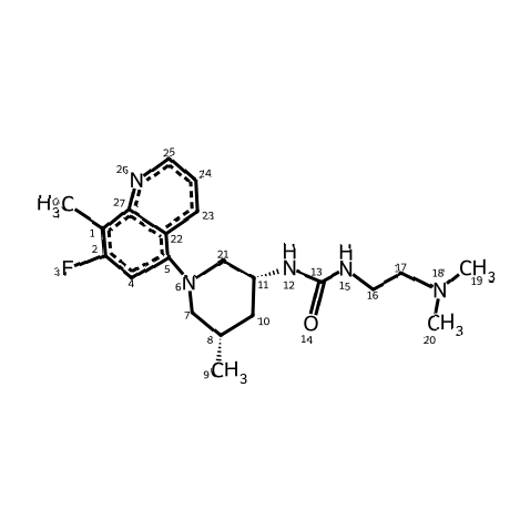 Cc1c(F)cc(N2C[C@@H](C)C[C@@H](NC(=O)NCCN(C)C)C2)c2cccnc12